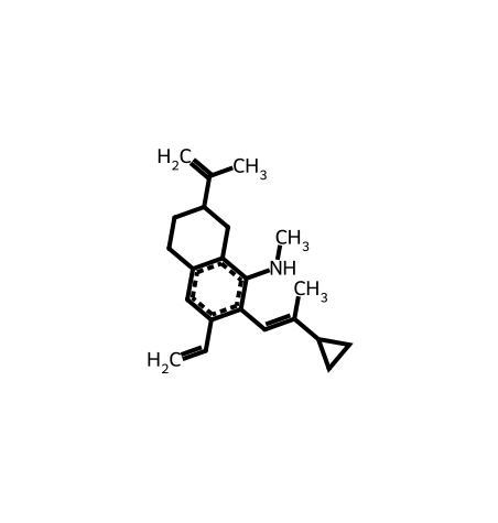 C=Cc1cc2c(c(NC)c1/C=C(\C)C1CC1)CC(C(=C)C)CC2